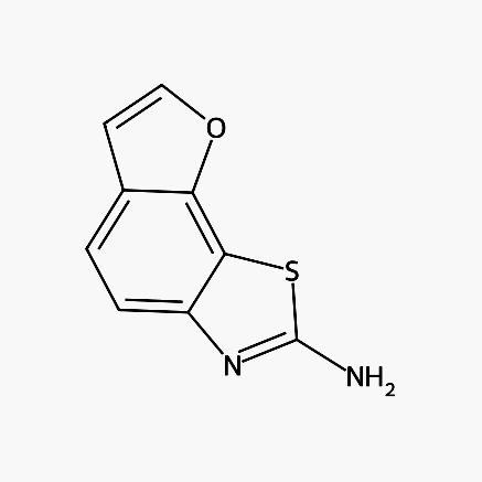 Nc1nc2ccc3ccoc3c2s1